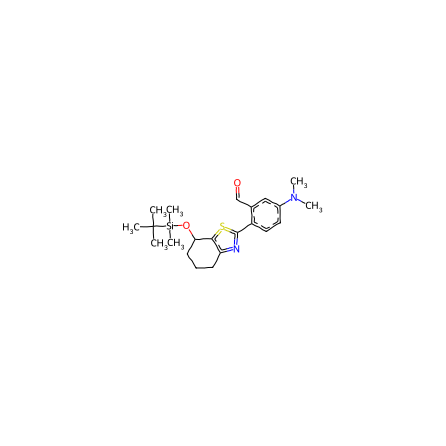 CN(C)c1ccc(-c2nc3c(s2)C(O[Si](C)(C)C(C)(C)C)CCC3)c(C=O)c1